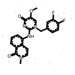 COc1cn(Cc2ccc(F)c(F)c2)c(Nc2cccc3c(=O)n(C)ccc23)nc1=O